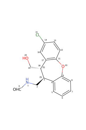 O=CNC[C@@H]1c2ccccc2Oc2ccc(Cl)cc2[C@H]1CO